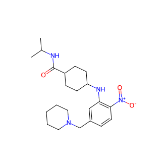 CC(C)NC(=O)C1CCC(Nc2cc(CN3CCCCC3)ccc2[N+](=O)[O-])CC1